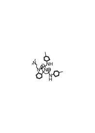 Cc1ccc(NC(=O)CC2(NC(=O)Nc3ccc(C)cc3)C(=O)N(CCN(C)C)c3ccccc32)cc1